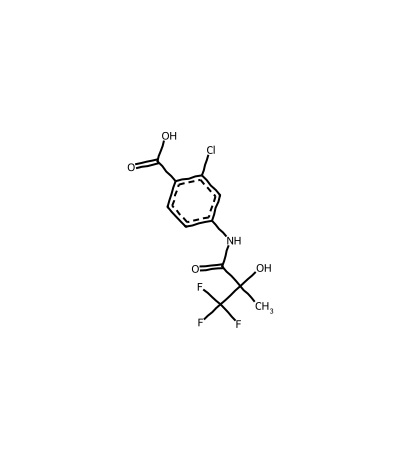 CC(O)(C(=O)Nc1ccc(C(=O)O)c(Cl)c1)C(F)(F)F